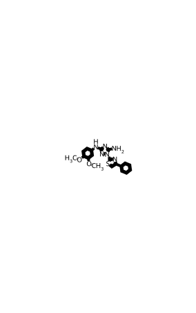 COc1ccc(Nc2nc(N)n(-c3nc(-c4ccccc4)cs3)n2)cc1OC